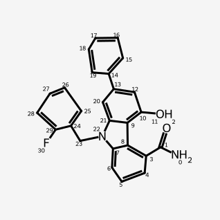 NC(=O)c1cccc2c1c1c(O)cc(-c3ccccc3)cc1n2Cc1ccccc1F